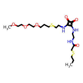 CCCSCC(=O)NCCNc1c(NCCSCCCOCCOCCOC)c(=O)c1=O